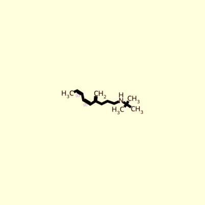 C=C(/C=C\C=C/C)CCCNC(C)(C)C